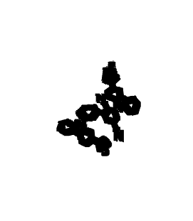 N#Cc1cc(-c2cccc(-n3c4ccccc4c4ccc(-c5ccsc5)cc43)c2)c(C#N)c(-n2c3ccccc3c3cc(-c4ccsc4)ccc32)c1